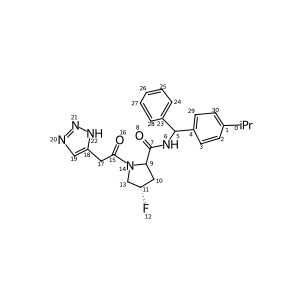 CC(C)c1ccc(C(NC(=O)C2C[C@H](F)CN2C(=O)Cc2cnn[nH]2)c2ccccc2)cc1